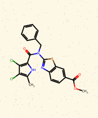 COC(=O)c1ccc2nc(N(Cc3ccccc3)C(=O)c3[nH]c(C)c(Cl)c3Cl)sc2c1